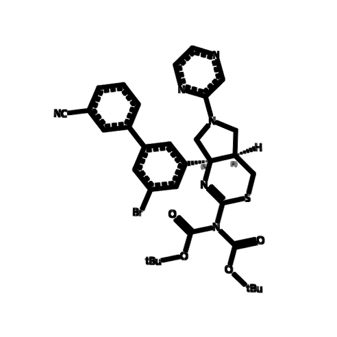 CC(C)(C)OC(=O)N(C(=O)OC(C)(C)C)C1=N[C@@]2(c3cc(Br)cc(-c4cccc(C#N)c4)c3)CN(c3cnccn3)C[C@H]2CS1